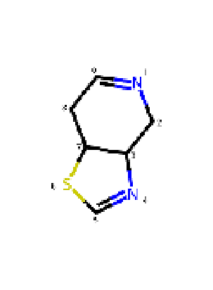 C1=NCC2N=CSC2C1